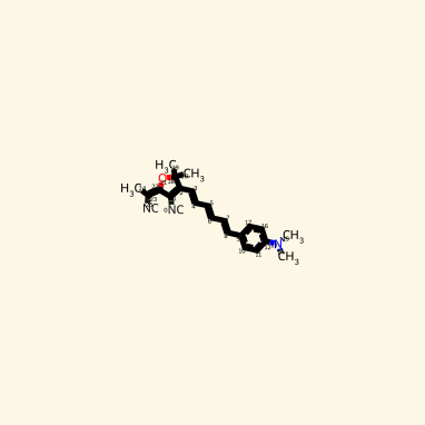 [C-]#[N+]C1=C(/C=C/C=C/C=C/c2ccc(N(C)C)cc2)C(C)(C)O/C1=C(\C)[N+]#[C-]